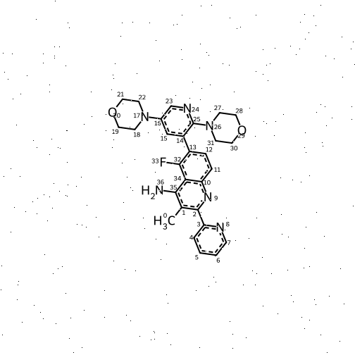 Cc1c(-c2ccccn2)nc2ccc(-c3cc(N4CCOCC4)cnc3N3CCOCC3)c(F)c2c1N